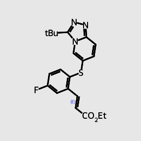 CCOC(=O)/C=C/c1cc(F)ccc1Sc1ccc2nnc(C(C)(C)C)n2c1